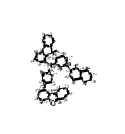 CC1(C)c2ccccc2-c2cccc(N(c3ccc(-c4cccc5oc6ccccc6c45)cc3)c3cccc(-c4ccc5ccccc5c4)c3)c21